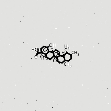 C[C@H]1[C@H](C)CC[C@]2(C)CC[C@]3(C)C(=CC[C@@H]4[C@@]5(C)C(O)CC[C@](C)(C(=O)O)[C@@H]5CC[C@]43C)[C@H]12